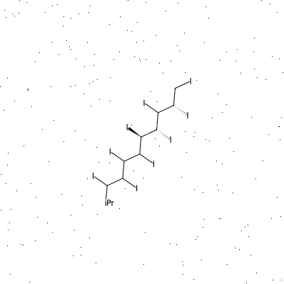 CC(C)C(I)C(I)C(I)C(I)[C@@H](I)[C@@H](I)C(I)[C@@H](I)CI